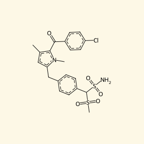 Cc1cc(Cc2ccc(C(S(C)(=O)=O)S(N)(=O)=O)cc2)n(C)c1C(=O)c1ccc(Cl)cc1